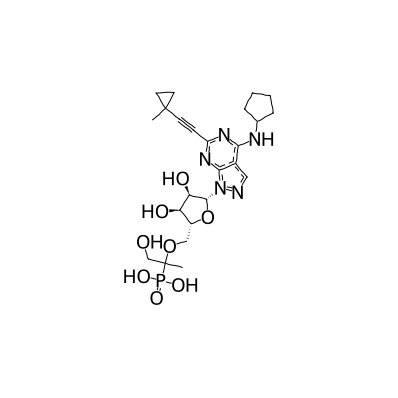 CC1(C#Cc2nc(NC3CCCC3)c3cnn([C@@H]4O[C@H](COC(C)(CO)P(=O)(O)O)[C@@H](O)[C@H]4O)c3n2)CC1